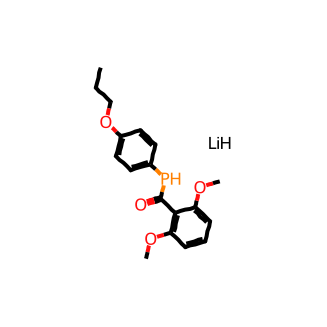 CCCOc1ccc(PC(=O)c2c(OC)cccc2OC)cc1.[LiH]